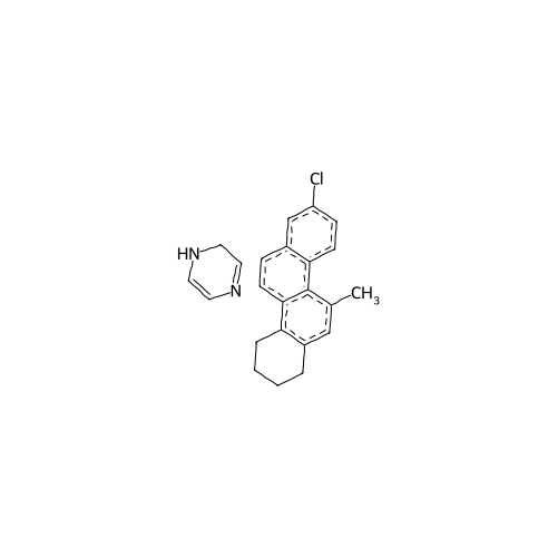 C1=CNCC=N1.Cc1cc2c(c3ccc4cc(Cl)ccc4c13)CCCC2